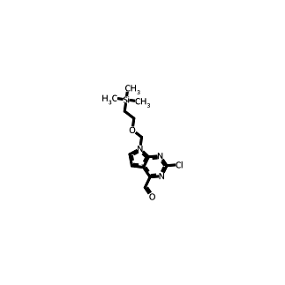 C[Si](C)(C)CCOCn1ccc2c(C=O)nc(Cl)nc21